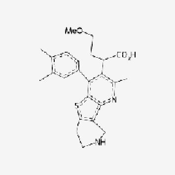 COCCC(C(=O)O)c1c(C)nc2c3c(sc2c1-c1ccc(C)c(C)c1)CCNC3